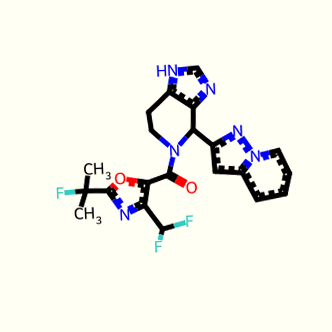 CC(C)(F)c1nc(C(F)F)c(C(=O)N2CCc3[nH]cnc3C2c2cc3ccccn3n2)o1